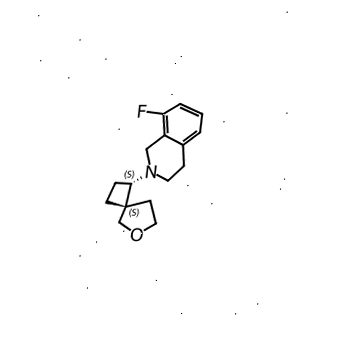 Fc1cccc2c1CN([C@H]1CC[C@]13CCOC3)CC2